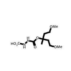 COCCC(C)(CCOC)OC(=O)NNC(=O)O